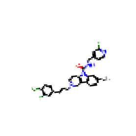 O=C(NCc1ccnc(F)c1)n1c2c(c3ccc(C(F)(F)F)cc31)CN(C/C=C/c1ccc(Cl)c(F)c1)CC2